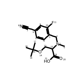 CN(Cc1ccc(C#N)cc1F)C(COC(C)(C)C)C(=O)O